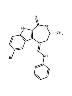 CC1C/C(=N\Nc2ccccn2)c2c([nH]c3ccc(Br)cc23)C(=O)N1